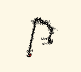 CCCCCN1CC=Nc2cc(OCCCC(=O)Nc3cc(C(=O)Nc4ccc(-c5cc(C(=O)Nc6ccc(NC(=O)[C@H](C)NC(=O)[C@@H](NC(=O)CCOCCOCCOCCOCCOCCOCCOCCOCCNC(=O)CCN7C(=O)C=CC7=O)C(C)C)cc6)n(C)c5)cc4)n(C)c3)c(OC)cc2C1=O